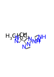 Cc1nc(Nc2cc[nH]n2)n2ccnc2c1-c1cnn(C)c1C